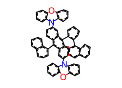 c1ccc2c(c1)Oc1ccccc1N2c1ccc2c(-c3cccc4ccccc34)c3cc(N4c5ccccc5Oc5ccccc54)ccc3c(-c3ccccc3-c3cccc4ccccc34)c2c1